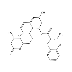 CC[C@H](Oc1ccccc1Cl)C(=O)OC1CC(O)C=C2C=CC(C)C(CC[C@@H]3C[C@@H](O)CC(=O)O3)C21